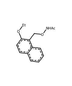 CCOc1ccc2ccccc2c1CONC(C)=O